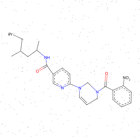 CC(C)CC(C)CC(C)NC(=O)c1ccc(N2C=CCN(C(=O)c3ccccc3[N+](=O)[O-])C2)nc1